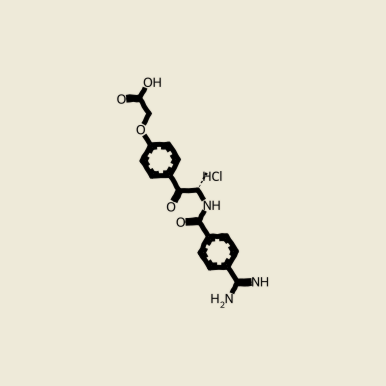 C[C@H](NC(=O)c1ccc(C(=N)N)cc1)C(=O)c1ccc(OCC(=O)O)cc1.Cl